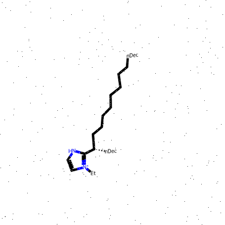 CCCCCCCCCCCCCCCCCC[C@H](CCCCCCCCCC)c1[nH]cc[n+]1CC